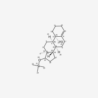 C[C@]12CC[C@@H]3[C@@H](CCC4=CCCC[C@@]43C=O)[C@@H]1CCC2O[Si](C)(C)C